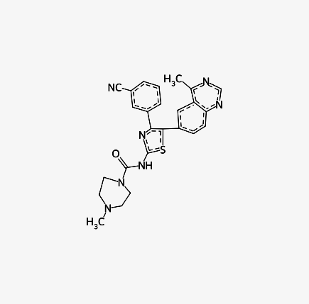 Cc1ncnc2ccc(-c3sc(NC(=O)N4CCN(C)CC4)nc3-c3cccc(C#N)c3)cc12